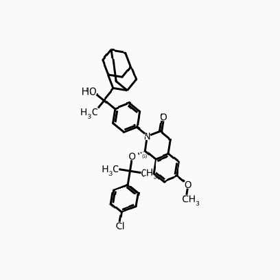 COc1ccc2c(c1)CC(=O)N(c1ccc(C(C)(O)C3C4CC5CC(C4)CC3C5)cc1)[C@H]2OC(C)(C)c1ccc(Cl)cc1